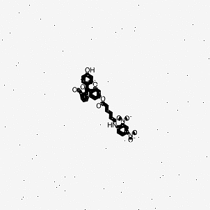 O=C(CCCCCNc1ccc([N+](=O)[O-])cc1[N+](=O)[O-])Oc1ccc2c(c1)Oc1cc(O)ccc1C21OC(=O)c2ccccc21